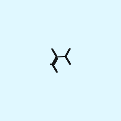 C/[C]=C(/C)C(C)C